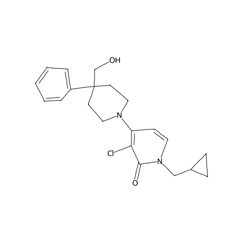 O=c1c(Cl)c(N2CCC(CO)(c3ccccc3)CC2)ccn1CC1CC1